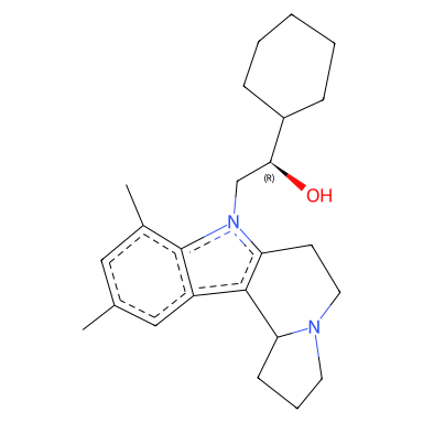 Cc1cc(C)c2c(c1)c1c(n2C[C@H](O)C2CCCCC2)CCN2CCCC12